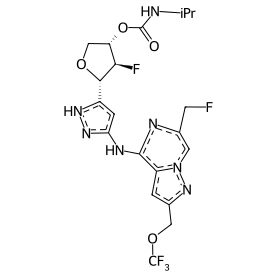 CC(C)NC(=O)O[C@H]1CO[C@@H](c2cc(Nc3nc(CF)cn4nc(COC(F)(F)F)cc34)n[nH]2)[C@@H]1F